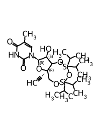 C#C[C@@]12CO[Si](C(C)C)(C(C)C)O[Si](C(C)C)(C(C)C)OC1[C@H](O)[C@H](n1cc(C)c(=O)[nH]c1=O)O2